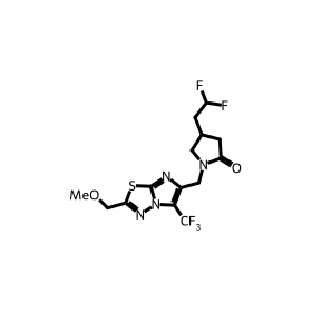 COCc1nn2c(C(F)(F)F)c(CN3CC(CC(F)F)CC3=O)nc2s1